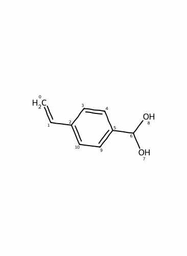 C=Cc1ccc(C(O)O)cc1